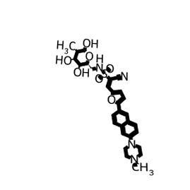 C[C@H]1C(O)O[C@H](CNS(=O)(=O)/C(C#N)=C/c2ccc(-c3ccc4cc(N5CCN(C)CC5)ccc4c3)o2)[C@@H](O)[C@@H]1O